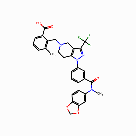 Cc1cccc(C(=O)O)c1CN1CCc2c(c(C(F)(F)F)nn2-c2cccc(C(=O)N(C)c3ccc4c(c3)OCO4)c2)C1